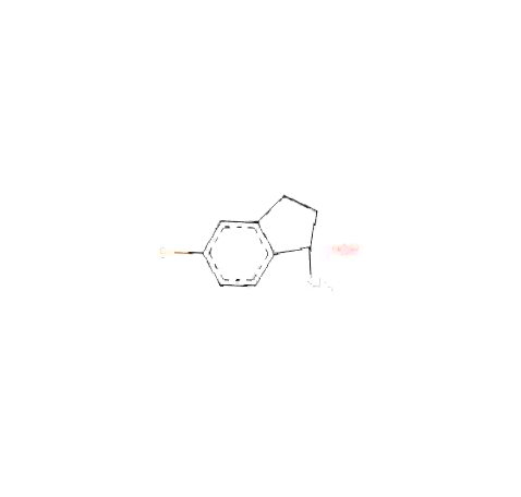 O[C@@]1([SiH3])CCc2cc(Br)ccc21